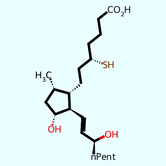 CCCCC[C@H](O)/C=C/[C@@H]1[C@@H](CC[C@@H](S)CCCC(=O)O)[C@@H](C)C[C@H]1O